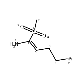 CC(C)CCC=C(N)S(C)(=O)=O